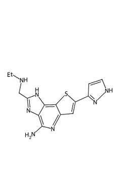 CCNCc1nc2c(N)nc3cc(-c4cc[nH]n4)sc3c2[nH]1